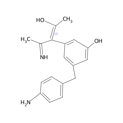 CC(=N)/C(=C(/C)O)c1cc(O)cc(Cc2ccc(N)cc2)c1